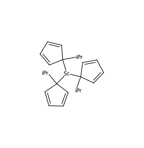 CC(C)[C]1([Sc]([C]2(C(C)C)C=CC=C2)[C]2(C(C)C)C=CC=C2)C=CC=C1